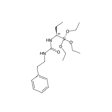 CCO[Si](OCC)(OCC)[C@H](CC)NC(=O)NCCc1ccccc1